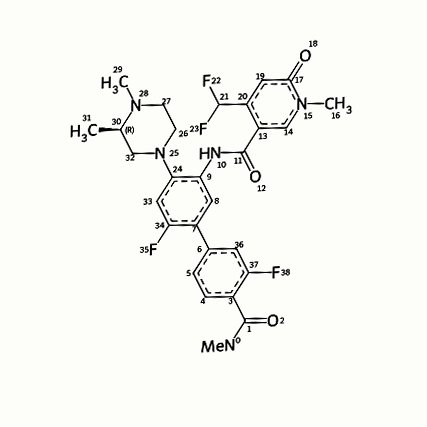 CNC(=O)c1ccc(-c2cc(NC(=O)c3cn(C)c(=O)cc3C(F)F)c(N3CCN(C)[C@H](C)C3)cc2F)cc1F